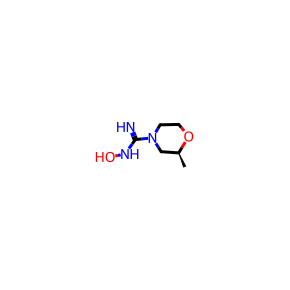 C[C@H]1CN(C(=N)NO)CCO1